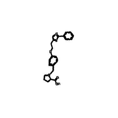 O=C(O)C1CCCN1Cc1ccc(OCCc2coc(-c3ccccc3)n2)cc1